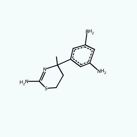 Bc1cc(N)cc(C2(C)CCSC(N)=N2)c1